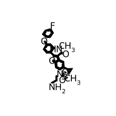 CNC(=O)c1c(-c2ccc(Oc3ccc(F)cc3)cc2)oc2cc(N(CCCN)S(C)(=O)=O)c(C3CC3)cc12